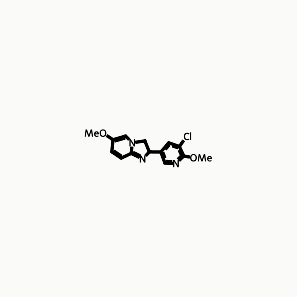 COC1=CN2CC(c3cnc(OC)c(Cl)c3)N=C2C=C1